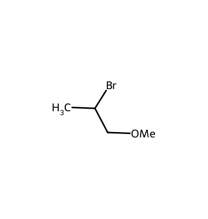 [CH2]OCC(C)Br